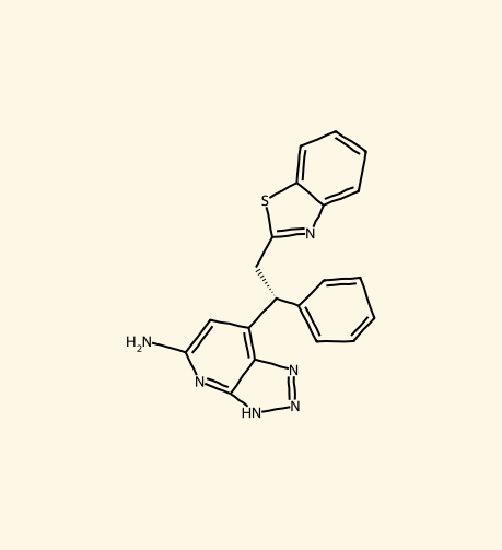 Nc1cc([C@H](Cc2nc3ccccc3s2)c2ccccc2)c2nn[nH]c2n1